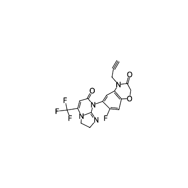 C#CCN1C(=O)COc2cc(F)c(N3C(=O)C=C(C(F)(F)F)N4CCN=C43)cc21